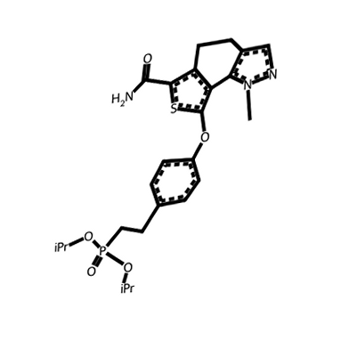 CC(C)OP(=O)(CCc1ccc(Oc2sc(C(N)=O)c3c2-c2c(cnn2C)CC3)cc1)OC(C)C